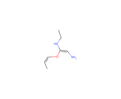 C/C=C\O/C(=C\N)NCC